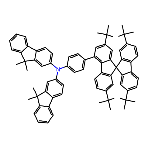 CC(C)(C)c1ccc2c(c1)C1(c3cc(C(C)(C)C)ccc3-2)c2cc(C(C)(C)C)ccc2-c2c(-c3ccc(N(c4ccc5c(c4)C(C)(C)c4ccccc4-5)c4ccc5c(c4)C(C)(C)c4ccccc4-5)cc3)cc(C(C)(C)C)cc21